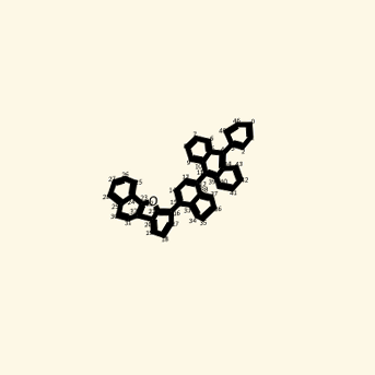 c1ccc(-c2c3ccccc3c(-c3ccc(-c4cccc5c4oc4c6ccccc6ccc54)c4ccccc34)c3ccccc23)cc1